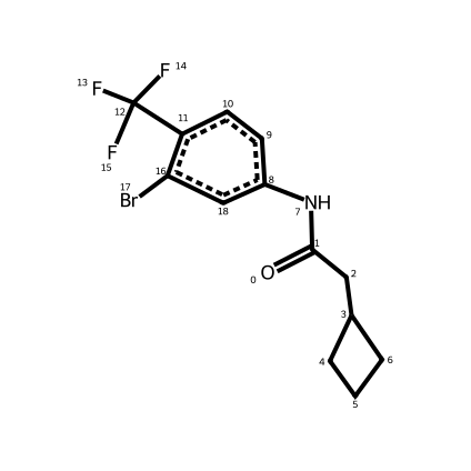 O=C(CC1CCC1)Nc1ccc(C(F)(F)F)c(Br)c1